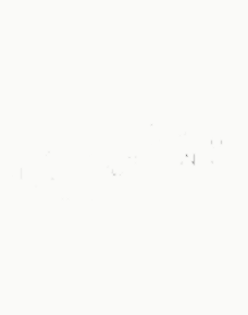 CCC(=O)N1CCc2c(cccc2Oc2ccc(C(C)(C)F)cc2)C1